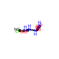 N#Cc1ccc(O[C@H]2CC[C@H](NC(=O)c3ccc(NCCCCCCNc4ccc5c(c4)C(=O)N(C4CCC(=O)NC4=O)C5=O)cc3)CC2)cc1Cl